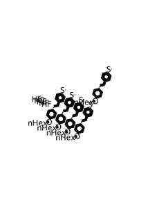 CCCCCCO[C@H]1CC[C@H](CCc2ccc([S])cc2)CC1.CCCCCCO[C@H]1CC[C@H](CCc2ccc([S])cc2)CC1.CCCCCCO[C@H]1CC[C@H](CCc2ccc([S])cc2)CC1.CCCCCCO[C@H]1CC[C@H](CCc2ccc([S])cc2)CC1.CCCCCCO[C@H]1CC[C@H](CCc2ccc([S])cc2)CC1.F.F.F.F.F